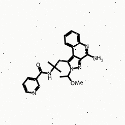 COC(C)n1nc2c(N)nc3ccccc3c2c1CC(C)(C)NC(=O)c1cccnc1